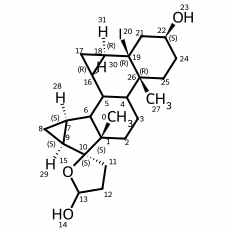 C[C@]12CCC3C(C1[C@@H]1C[C@@H]1[C@@]21CCC(O)O1)[C@H]1C[C@H]1[C@]1(I)C[C@@H](O)CC[C@]31C